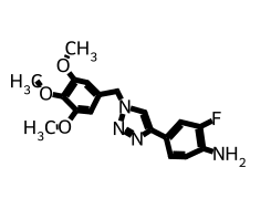 COc1cc(Cn2cc(-c3ccc(N)c(F)c3)nn2)cc(OC)c1OC